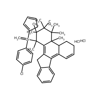 Cl.Cl.[CH2]=[Zr]([C]1=CC=CC1)([c]1ccc(Cl)cc1)[C]1(C)C2=C3Cc4ccccc4C3=C3C=CCCC3C2(C)C(C)(C)C(C)(C)C1(C)C